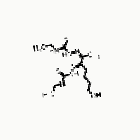 CCNC(=S)N/N=C(C)\C(CCCCO)=N\NC(=S)NCC